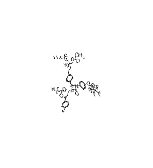 CC(=O)OCC(O)(CCc1ccc([C@@H]2[C@@H](CC[C@H](OC(C)=O)c3ccc(F)cc3)C(=O)N2c2ccc(OS(=O)(=O)C(F)(F)F)cc2)cc1)COC(C)=O